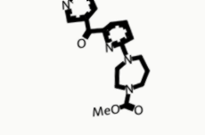 COC(=O)N1CCCN(c2cccc(C(=O)c3cccnc3)n2)CC1